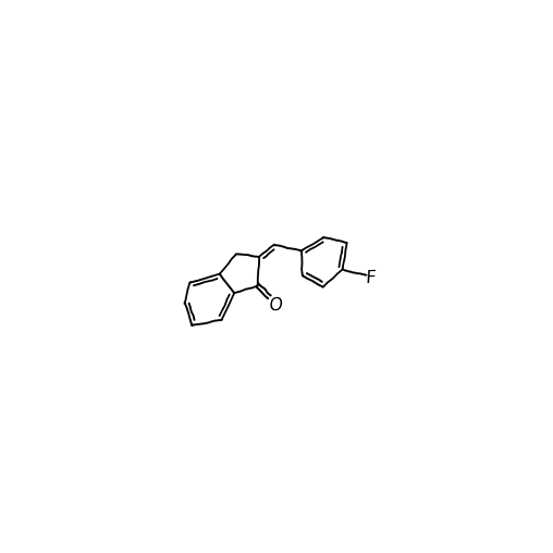 O=C1C(=Cc2ccc(F)cc2)Cc2ccccc21